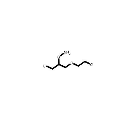 NOC(CCl)COCCCl